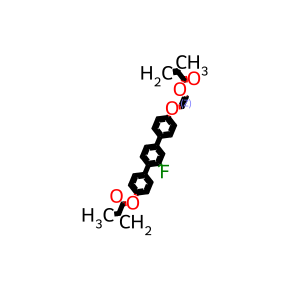 C=C(C)C(=O)O/C=C\Oc1ccc(-c2ccc(-c3ccc(OC(=O)C(=C)C)cc3)c(F)c2)cc1